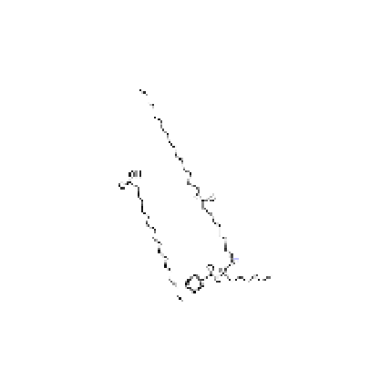 CCCCCCCCCCCCCCCCCC(=O)O.CCCCCCCCCCCCCCCCOC(=O)CCCCCCC/C=C\C[C@@H](CCCCCC)OC(=O)c1ccccc1